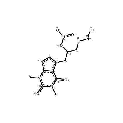 Cn1c(=O)c2c(ncn2CC(CONO)O[N+](=O)[O-])n(C)c1=O